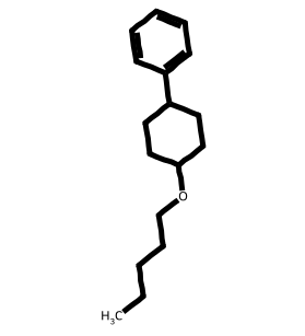 CCCCCOC1CCC(c2ccccc2)CC1